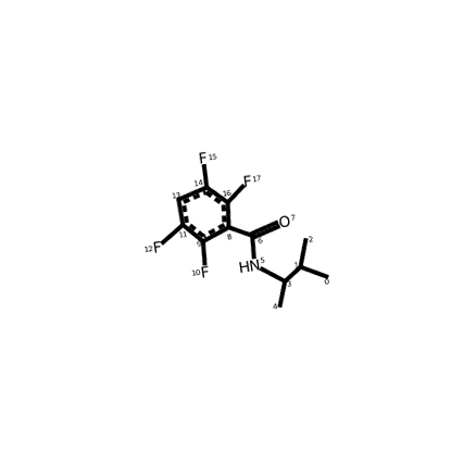 CC(C)C(C)NC(=O)c1c(F)c(F)cc(F)c1F